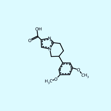 COc1cc(OC)cc(C2CCc3nc(C(=O)O)cn3C2)c1